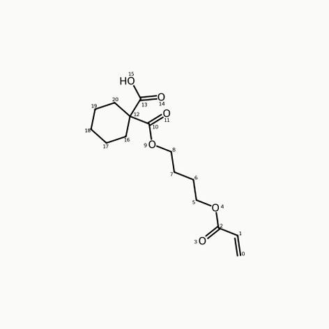 C=CC(=O)OCCCCOC(=O)C1(C(=O)O)CCCCC1